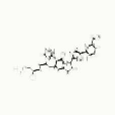 CC/C(Cl)=C\C=C(/Cc1cc2n(c(=O)c1)C(c1ncc(-c3cccc(C=O)n3)[nH]1)CC2)n1cnnn1